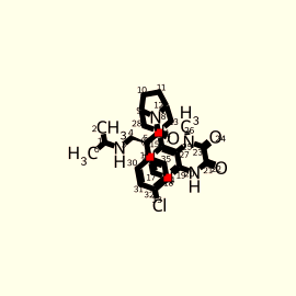 CC(C)NC[C@@H](C(=O)N1C2CCC1CN(c1ncnc3[nH]c(=O)c(=O)n(C)c13)C2)c1ccc(Cl)cc1